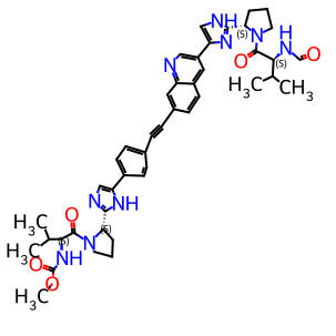 COC(=O)N[C@H](C(=O)N1CCC[C@H]1c1ncc(-c2ccc(C#Cc3ccc4cc(-c5c[nH]c([C@@H]6CCCN6C(=O)[C@@H](NC=O)C(C)C)n5)cnc4c3)cc2)[nH]1)C(C)C